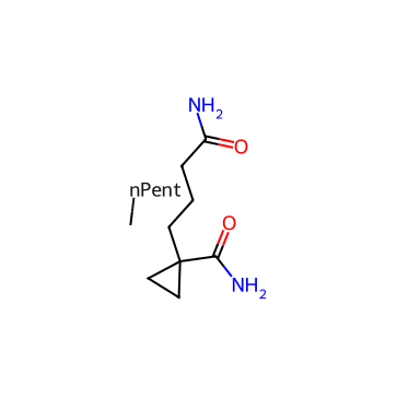 CCCCCC.NC(=O)CCCC1(C(N)=O)CC1